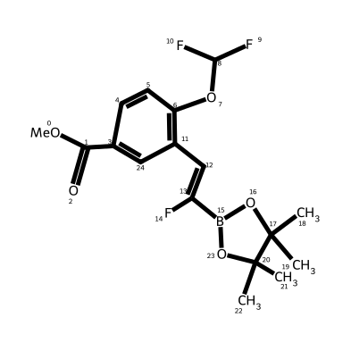 COC(=O)c1ccc(OC(F)F)c(/C=C(\F)B2OC(C)(C)C(C)(C)O2)c1